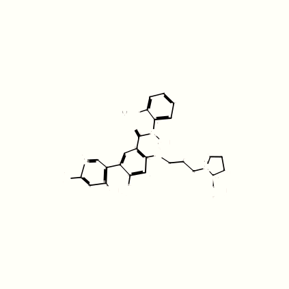 COc1ccccc1N(C)C(=O)c1cc(-c2cnc(C(F)(F)F)cc2C)c(Cl)cc1OCCCN1CCC[C@H]1C(=O)O